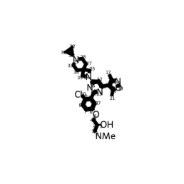 CNC[C@H](O)COc1ccc(Cl)c(-c2nc(-c3c(C)noc3C)cc(N3CC4(CCN(C5CC5)CC4)C3)n2)c1